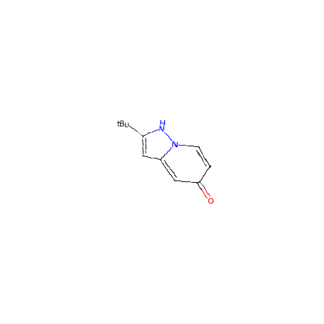 CC(C)(C)c1cc2cc(=O)ccn2[nH]1